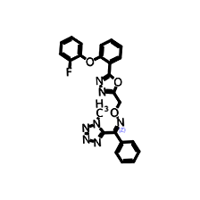 Cn1nnnc1/C(=N\OCc1nnc(-c2ccccc2Oc2ccccc2F)o1)c1ccccc1